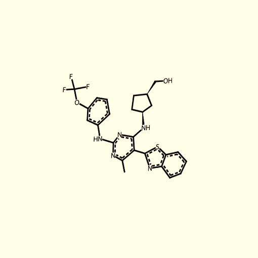 Cc1nc(Nc2cccc(OC(F)(F)F)c2)nc(N[C@H]2CC[C@@H](CO)C2)c1-c1nc2ccccc2s1